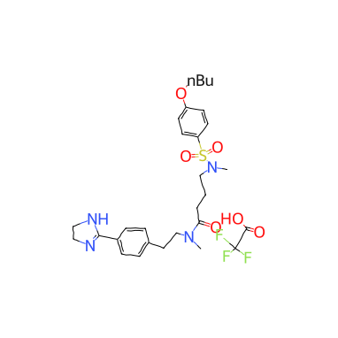 CCCCOc1ccc(S(=O)(=O)N(C)CCCC(=O)N(C)CCc2ccc(C3=NCCN3)cc2)cc1.O=C(O)C(F)(F)F